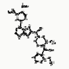 COc1ccc(-c2ccnc3cc(C(=O)N4CCN(C(=O)c5ccccc5CO)[C@@H](C)C4)nn23)cc1OC